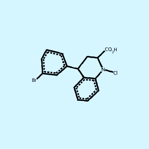 O=C(O)C1CC(c2cccc(Br)c2)c2ccccc2N1Cl